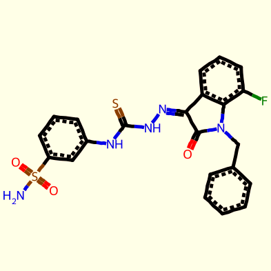 NS(=O)(=O)c1cccc(NC(=S)NN=C2C(=O)N(Cc3ccccc3)c3c(F)cccc32)c1